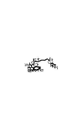 CCC(CCCCC(CC)Oc1cc(C)[nH]n1)OC(=O)C1=C(C)NC(C)=C(C(=O)OC)C1c1ccccc1[N+](=O)[O-]